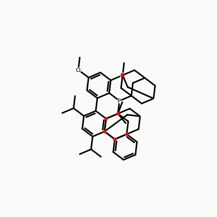 COc1cc(OC)c(P(C23CC4CC(CC(C4)C2)C3)C23CC4CC(CC(C4)C2)C3)c(-c2c(C(C)C)cc(C(C)C)c(-c3ccccc3)c2C(C)C)c1